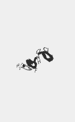 COc1ccc(CNC(=O)c2ccccc2Cl)cc1F